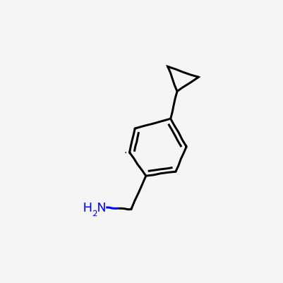 NCc1[c]cc(C2CC2)cc1